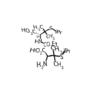 CC(C)SC(C)(C)C(N)C(=O)O.CCOC(=O)N[C@H](C(=O)O)C(C)(C)SC(C)C